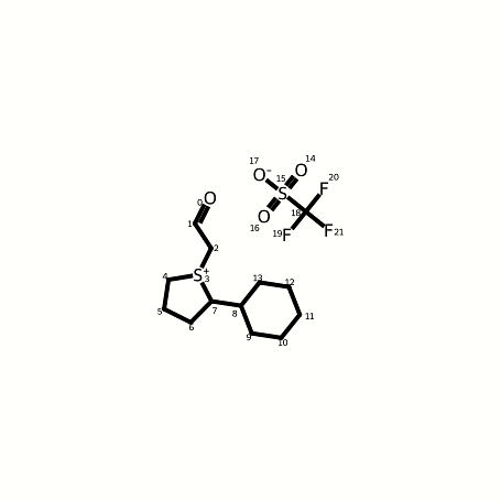 O=CC[S+]1CCCC1C1CCCCC1.O=S(=O)([O-])C(F)(F)F